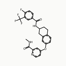 CNC(=O)c1cc(Oc2ccc3c(c2)CC(NC(=O)c2ccc(F)c(C(F)(F)F)c2)CC3)ccn1